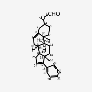 C[C@]12CCC(OC=O)CC1=CC[C@@H]1[C@@H]2CC[C@]2(C)C(c3cccnc3)=CC[C@@H]12